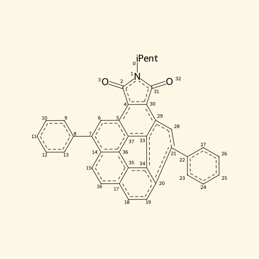 CCCC(C)n1c(=O)c2c3cc(-c4ccccc4)c4ccc5ccc6c(-c7ccccc7)cc(c2c1=O)c1c6c5c4c31